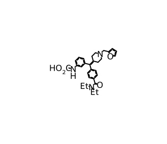 CCN(CC)C(=O)c1ccc(C(=C2CCN(Cc3ccco3)CC2)c2cccc(NC(=O)O)c2)cc1